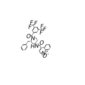 O=C(N[C@H]1CCN(C(=O)c2cc(C(F)(F)F)cc(C(F)(F)F)c2)[C@H](Cc2ccccc2)C1)c1cc[n+]([O-])c2ccccc12